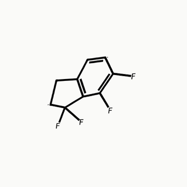 Fc1[c]cc2c(c1F)C(F)(F)[CH]C2